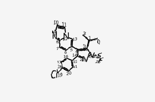 CC(C)c1c(-c2ccc3nccn3c2)c(-c2ccc(Cl)cc2)nn1SF